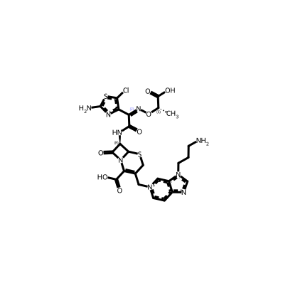 C[C@H](O/N=C(\C(=O)N[C@@H]1C(=O)N2C(C(=O)O)=C(C[n+]3ccc4ncn(CCCN)c4c3)CSC12)c1nc(N)sc1Cl)C(=O)O